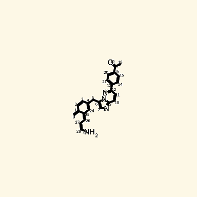 C=c1ccc(Cc2cnc3ccc(-c4ccc(C(C)=O)cc4)nn23)c/c1=C/C=C\N